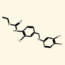 CCOC(=O)Nc1ccc(CNc2ccc(Cl)c(Cl)c2)cc1Cl